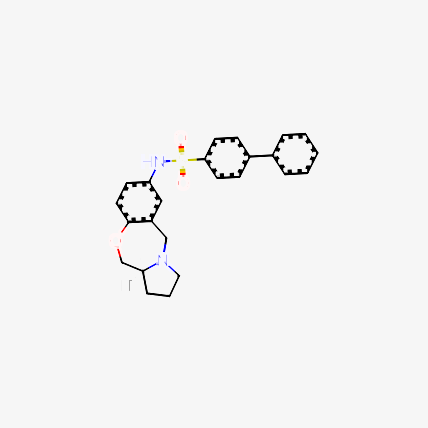 O=S(=O)(Nc1ccc2c(c1)CN1CCC[C@H]1CO2)c1ccc(-c2ccccc2)cc1